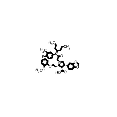 CCCC(CCC)N(C(=O)CN1C[C@H](c2ccc3c(c2)OCO3)[C@@H](C(=O)O)[C@@H]1CCOc1ccccc1OC)c1ccc(F)c(C)c1